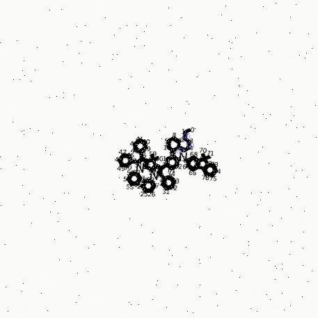 C\C=C/C=C\C(=C1/C=CC=CC1C)N(c1ccc(-c2c3c(n(-c4ccccc4)c2-c2ccccc2)-c2c(c(-c4ccccc4)c(-c4ccccc4)n2-c2ccccc2)C3(C)C)cc1)c1ccc2c(c1)C(C)(C)c1ccccc1-2